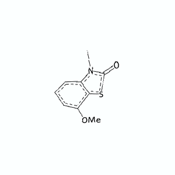 COc1cccc2c1sc(=O)n2C